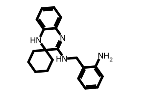 Nc1ccccc1CNC1=Nc2ccccc2NC12CCCCC2